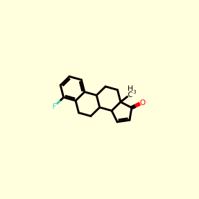 CC12CCC3c4cccc(F)c4CCC3C1C=CC2=O